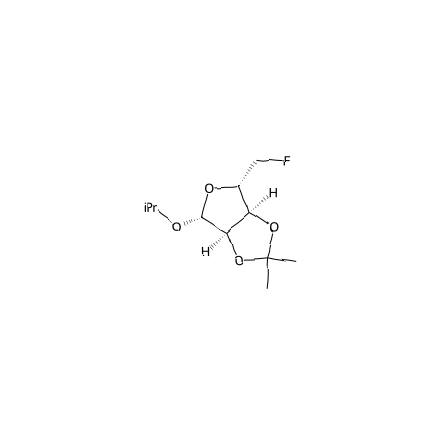 CC(C)O[C@@H]1O[C@H](CF)[C@H]2OC(C)(C)O[C@@H]12